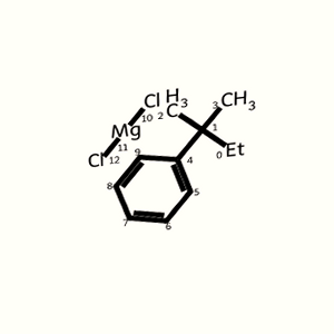 [CH2]CC(C)(C)c1ccccc1.[Cl][Mg][Cl]